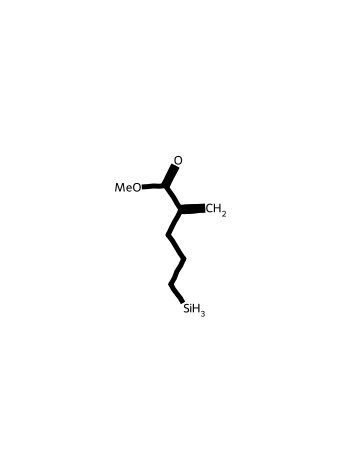 C=C(CCC[SiH3])C(=O)OC